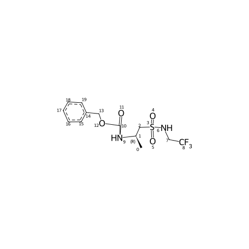 C[C@H](CS(=O)(=O)NCC(F)(F)F)NC(=O)OCc1ccccc1